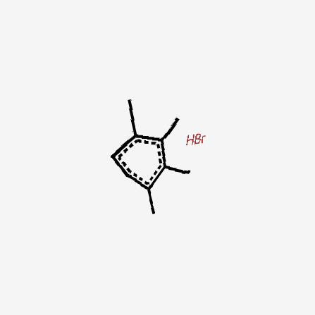 Br.Cc1ccc(C)c(C)c1C